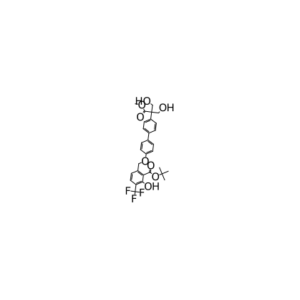 COC(=O)C(CO)(CO)c1ccc(-c2ccc(OCc3ccc(C(F)(F)F)c(O)c3C(=O)OC(C)(C)C)cc2)cc1